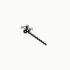 CCCCCCCCC=CCCCCCCCC(=O)c1ccccc1C(O)C(=O)O